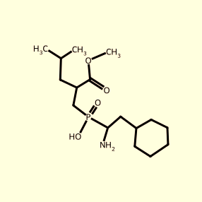 COC(=O)C(CC(C)C)CP(=O)(O)C(N)CC1CCCCC1